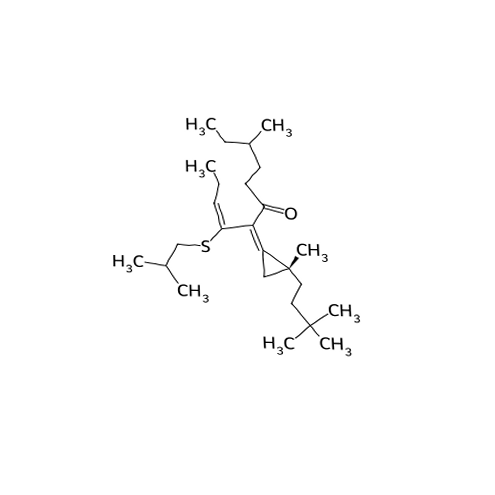 CC/C=C(SCC(C)C)\C(C(=O)CCC(C)CC)=C1/C[C@@]1(C)CCC(C)(C)C